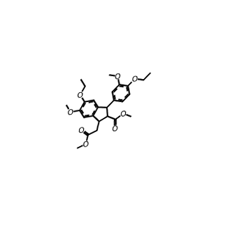 CCOc1ccc(C2c3cc(OCC)c(OC)cc3C(CC(=O)OC)C2C(=O)OC)cc1OC